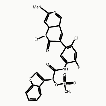 CCN1C(=O)C(c2cc(NC(=O)N(OS(C)(=O)=O)c3csc4ccccc34)c(F)cc2Cl)=CC2C=NC(NC)=CC21